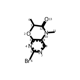 CC1Oc2nc(Br)ncc2N(C)C1=O